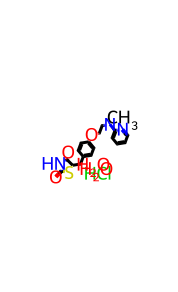 CN(CCOc1ccc(CC2SC(=O)NC2=O)cc1)c1ccccn1.Cl.O.O